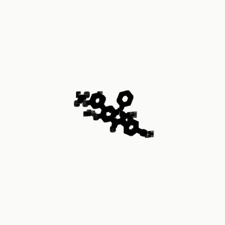 C#Cc1ccc2c(c1)[nH]c1c2c(=O)c2cc(OCCCC)c(-c3cncc(OS(=O)(=O)F)c3)cc2n1C1CCCCC1